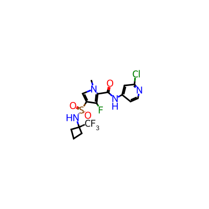 Cn1cc(S(=O)(=O)NC2(C(F)(F)F)CCC2)c(F)c1C(=O)Nc1ccnc(Cl)c1